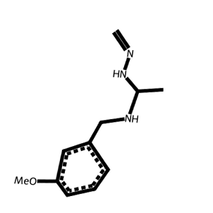 C=NNC(C)NCc1cccc(OC)c1